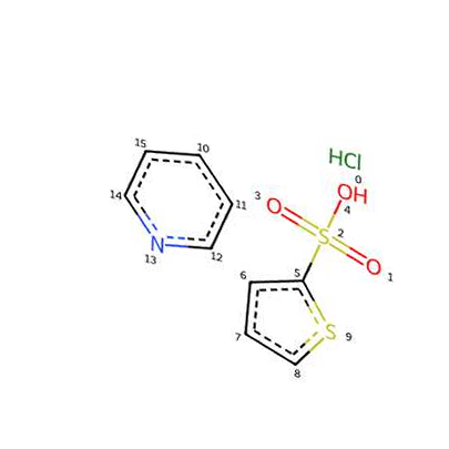 Cl.O=S(=O)(O)c1cccs1.c1ccncc1